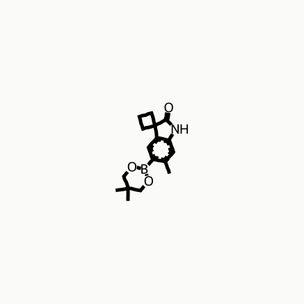 Cc1cc2c(cc1B1OCC(C)(C)CO1)C1(CCC1)C(=O)N2